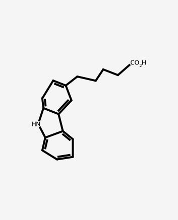 O=C(O)CCCCc1ccc2[nH]c3ccccc3c2c1